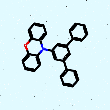 c1ccc(-c2cc(-c3ccccc3)cc(N3c4ccccc4Oc4ccccc43)c2)cc1